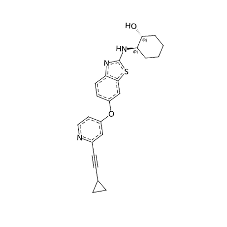 O[C@@H]1CCCC[C@H]1Nc1nc2ccc(Oc3ccnc(C#CC4CC4)c3)cc2s1